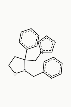 c1ccc(CN2OCCC2(Cn2ccnc2)c2ccccc2)cc1